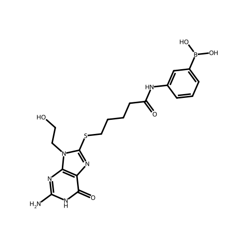 Nc1nc2c(nc(SCCCCC(=O)Nc3cccc(B(O)O)c3)n2CCO)c(=O)[nH]1